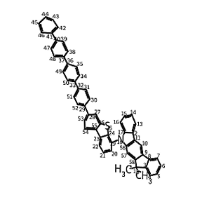 CC1(C)c2ccccc2-c2cc3c4ccccc4n(-c4cccc5c4sc4cc(-c6ccc(-c7ccc(-c8ccc(-c9ccccc9)cc8)cc7)cc6)ccc45)c3cc21